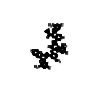 Cc1cc(Cl)cc2sc(N(CC3CCNCC3)C(=O)C3CC(C4CN(C)CCC4CN(C(=O)C4CC(C5CNCCC5CN(C(=O)C5CC5)c5nc6c(C)cc(Cl)cc6s5)C4)c4nc5c(C)cc(Cl)cc5s4)C3)nc12